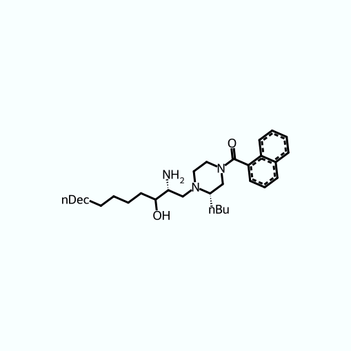 CCCCCCCCCCCCCCC(O)[C@H](N)CN1CCN(C(=O)c2cccc3ccccc23)C[C@@H]1CCCC